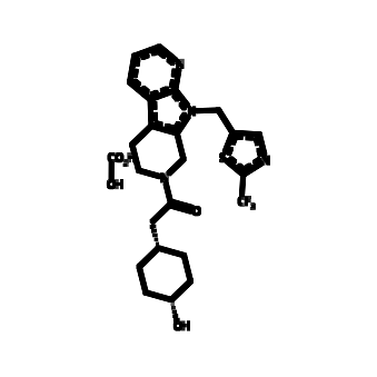 O=C(C[C@H]1CC[C@@H](O)CC1)N1CCc2c(n(Cc3cnc(C(F)(F)F)s3)c3ncccc23)C1.O=C(O)O